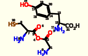 NCC(=O)OC(=O)[C@@H](N)CS.N[C@@H](Cc1ccc(O)cc1)C(=O)O